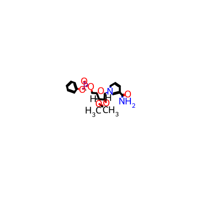 CC1(C)O[C@@H]2[C@H](O1)C(CO[P](=O)Oc1ccccc1)O[C@H]2N1C=C(C(N)=O)C=CC1